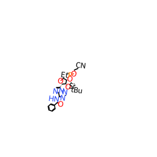 CC[C@H]1O[C@@H](c2cnc3c(NC(=O)c4ccccc4)ncnn23)[C@@H](O[Si](C)(C)C(C)(C)C)C1OP(C)OCCC#N